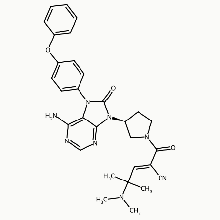 CN(C)C(C)(C)C=C(C#N)C(=O)N1CC[C@H](n2c(=O)n(-c3ccc(Oc4ccccc4)cc3)c3c(N)ncnc32)C1